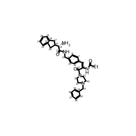 CCC(=O)N/C(=C/c1ccc(CNC(=O)[C@@H](N)C2Cc3ccccc3C2)cc1)C(=O)N1CCN(Cc2ccccc2)CC1